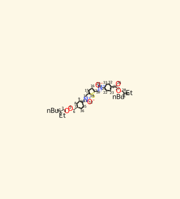 CCCCC(CC)COOCc1ccc(/[N+]([O-])=C/c2ccc(/C=[N+](\[O-])c3ccc(C(=O)OCC(CC)CCCC)cc3)s2)cc1